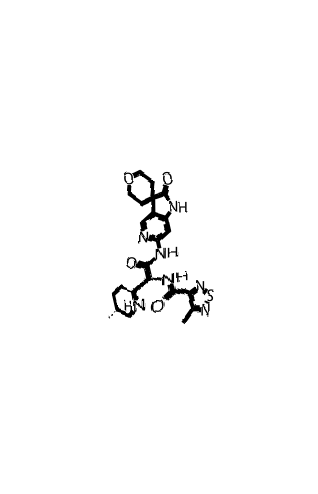 Cc1nsnc1C(=O)N[C@H](C(=O)Nc1cc2c(cn1)C1(CCOCC1)C(=O)N2)[C@@H]1CC[C@@H](C)CN1